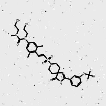 Cc1cc(N(CCO)C(=O)N(C)CCO)cc(C)c1C=CS(=O)(=O)N1CCC2(CC1)N=C(c1cccc(OC(F)(F)F)c1)NC2=O